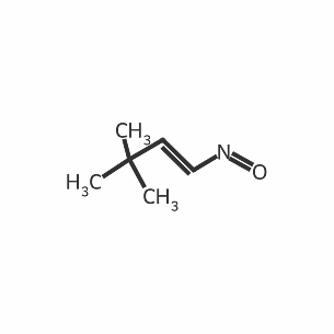 CC(C)(C)/C=C/N=O